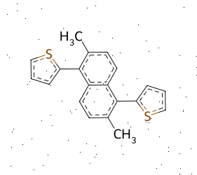 Cc1ccc2c(-c3cccs3)c(C)ccc2c1-c1cccs1